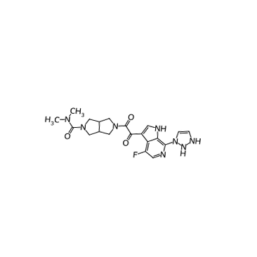 CN(C)C(=O)N1CC2CN(C(=O)C(=O)c3c[nH]c4c(N5C=CNN5)ncc(F)c34)CC2C1